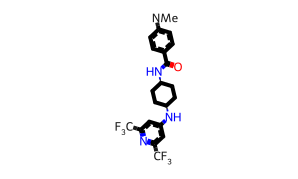 CNc1ccc(C(=O)N[C@H]2CC[C@@H](Nc3cc(C(F)(F)F)nc(C(F)(F)F)c3)CC2)cc1